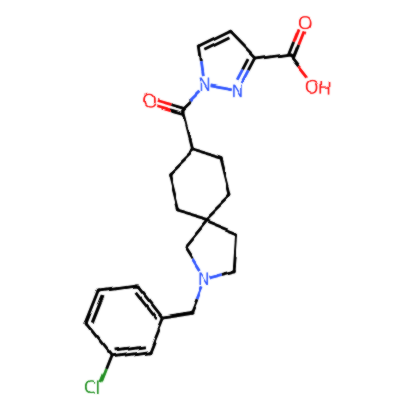 O=C(O)c1ccn(C(=O)C2CCC3(CC2)CCN(Cc2cccc(Cl)c2)C3)n1